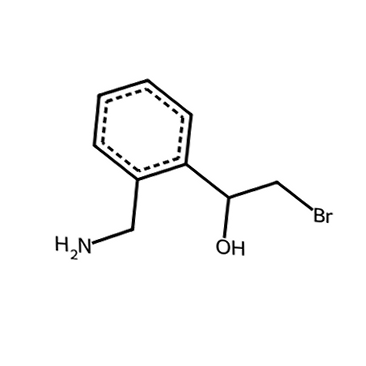 NCc1ccccc1C(O)CBr